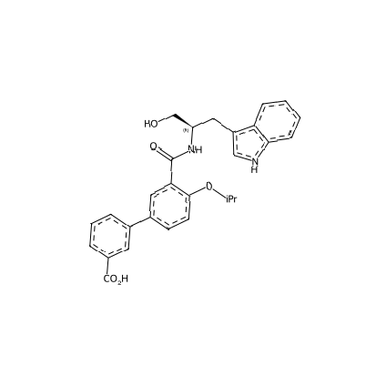 CC(C)Oc1ccc(-c2cccc(C(=O)O)c2)cc1C(=O)N[C@@H](CO)Cc1c[nH]c2ccccc12